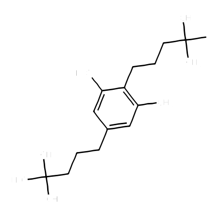 Cc1cc(CCCC(C)(C)C)cc(C)c1CCCC(C)(C)I